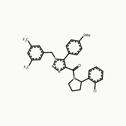 CSc1ccc(-c2c(C(=O)N3CCCC3c3ccccc3Cl)nnn2Cc2cc(C(F)(F)F)cc(C(F)(F)F)c2)cc1